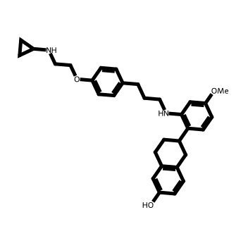 COc1ccc(C2CCc3cc(O)ccc3C2)c(NCCCc2ccc(OCCNC3CC3)cc2)c1